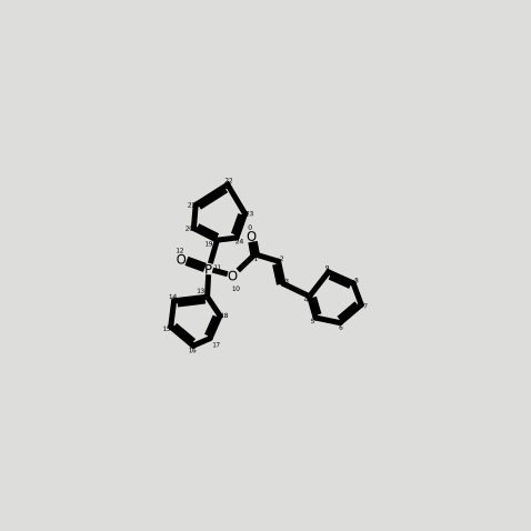 O=C(C=Cc1ccccc1)OP(=O)(c1ccccc1)c1ccccc1